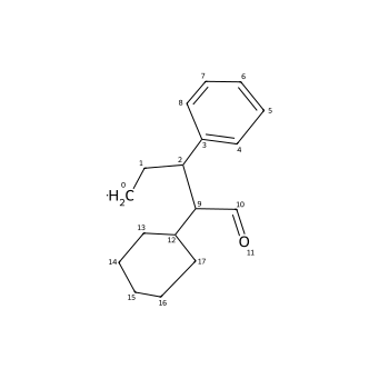 [CH2]CC(c1ccccc1)C(C=O)C1CCCCC1